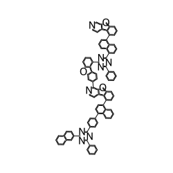 c1ccc(-c2nc(-c3ccc(-c4ccc(-c5cccc6oc7c(-c8ccc9c(c8)oc8cccc(-c%10nc(-c%11ccccc%11)nc(-c%11cccc%12c(-c%13cccc%14oc%15cnccc%15c%13%14)cccc%11%12)n%10)c89)nccc7c56)c5ccccc45)cc3)nc(-c3ccc4ccccc4c3)n2)cc1